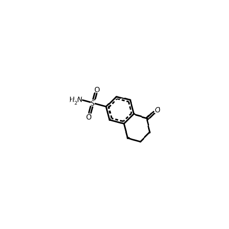 NS(=O)(=O)c1ccc2c(c1)CCCC2=O